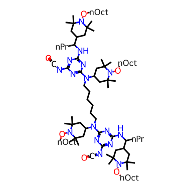 CCCCCCCCON1C(C)(C)CC(C(CCC)Nc2nc(N=C=O)nc(N(CCCCCCN(c3nc(N=C=O)nc(NC(CCC)C4CC(C)(C)N(OCCCCCCCC)C(C)(C)C4)n3)C3CC(C)(C)N(OCCCCCCCC)C(C)(C)C3)C3CC(C)(C)N(OCCCCCCCC)C(C)(C)C3)n2)CC1(C)C